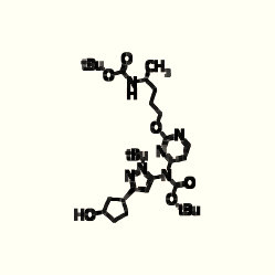 C[C@@H](CCCOc1nccc(N(C(=O)OC(C)(C)C)c2cc([C@H]3CC[C@@H](O)C3)nn2C(C)(C)C)n1)NC(=O)OC(C)(C)C